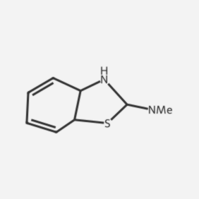 CNC1NC2C=CC=CC2S1